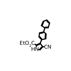 CCOC(=O)c1[nH]cc(C#N)c1-c1ccc(-c2ccccc2)cc1